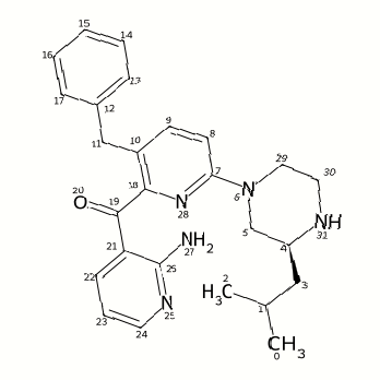 CC(C)C[C@H]1CN(c2ccc(Cc3ccccc3)c(C(=O)c3cccnc3N)n2)CCN1